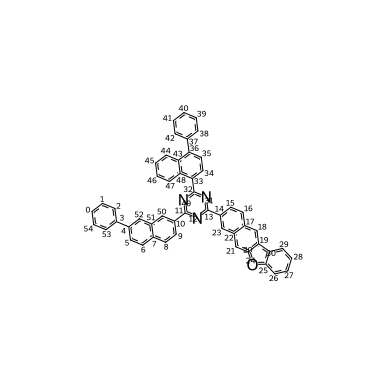 c1ccc(-c2ccc3ccc(-c4nc(-c5ccc6cc7c(cc6c5)oc5ccccc57)nc(-c5ccc(-c6ccccc6)c6ccccc56)n4)cc3c2)cc1